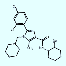 Cc1c(C(=O)N[C@H]2CCCC[C@@H]2O)cc(-c2ccc(Cl)cc2Cl)n1CC1CCCCC1